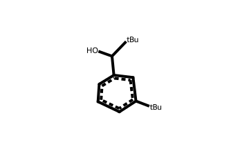 CC(C)(C)c1cccc(C(O)C(C)(C)C)c1